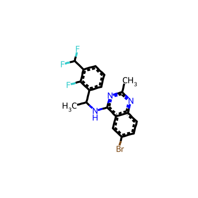 Cc1nc(NC(C)c2cccc(C(F)F)c2F)c2cc(Br)ccc2n1